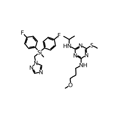 COCCCNc1nc(NC(C)C)nc(SC)n1.C[Si](Cn1cncn1)(c1ccc(F)cc1)c1ccc(F)cc1